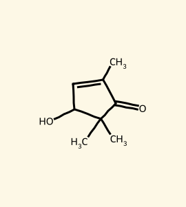 CC1=CC(O)C(C)(C)C1=O